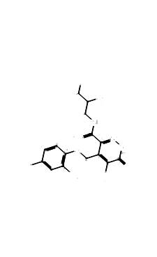 O=C(NCC(O)CO)c1n[nH]c(=O)c(Cl)c1CNc1ccc(I)cc1F